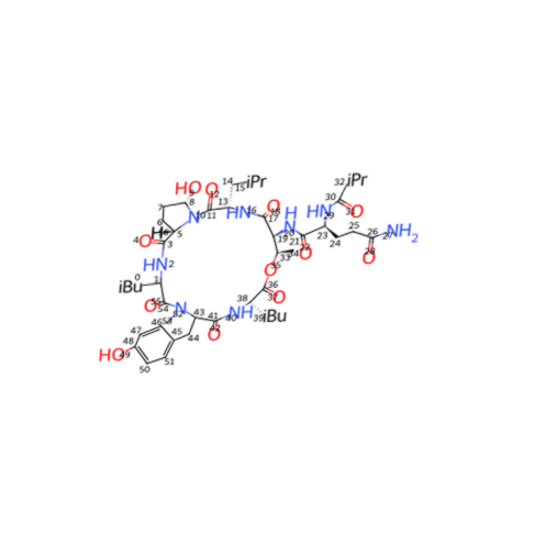 CCC(C)C1NC(=O)[C@@H]2CC[C@H](O)N2C(=O)[C@H](CC(C)C)NC(=O)[C@@H](NC(=O)[C@H](CCC(N)=O)NC(=O)C(C)C)[C@@H](C)OC(=O)[C@H](C(C)CC)NC(=O)C(Cc2ccc(O)cc2)N(C)C1=O